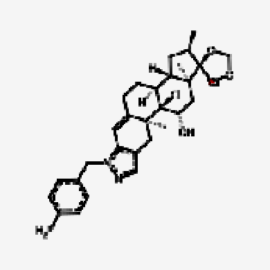 C[C@@H]1C[C@H]2[C@@H]3CCC4=Cc5c(cnn5Cc5ccc(P)cc5)C[C@]4(C)[C@@]3(Cl)[C@@H](O)C[C@]2(C)[C@]12OCOC21COCO1